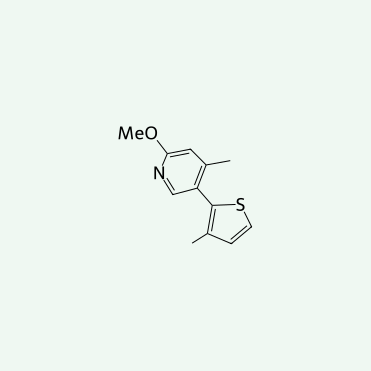 COc1cc(C)c(-c2sccc2C)cn1